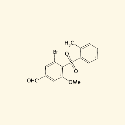 COc1cc(C=O)cc(Br)c1S(=O)(=O)c1ccccc1C